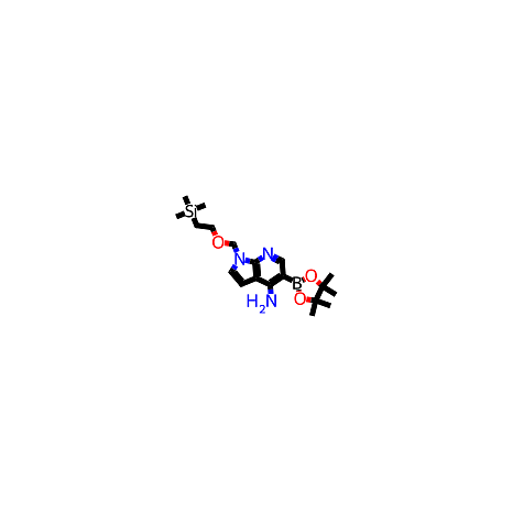 CC1(C)OB(c2cnc3c(ccn3COCC[Si](C)(C)C)c2N)OC1(C)C